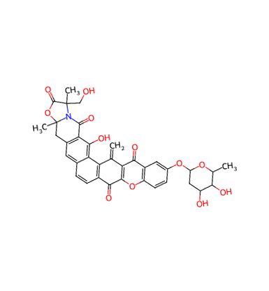 C=C1c2c(oc3ccc(OC4CC(O)C(O)C(C)O4)cc3c2=O)C(=O)c2ccc3cc4c(c(O)c3c21)C(=O)N1C(C)(C4)OC(=O)C1(C)CO